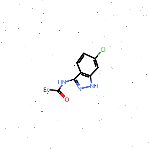 CCC(=O)Nc1n[nH]c2cc(Cl)ccc12